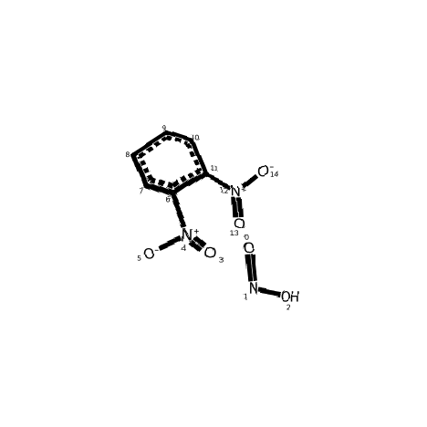 O=NO.O=[N+]([O-])c1ccccc1[N+](=O)[O-]